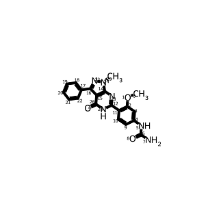 COc1cc(NC(N)=O)ccc1-c1nc2c(c(-c3ccccc3)nn2C)c(=O)[nH]1